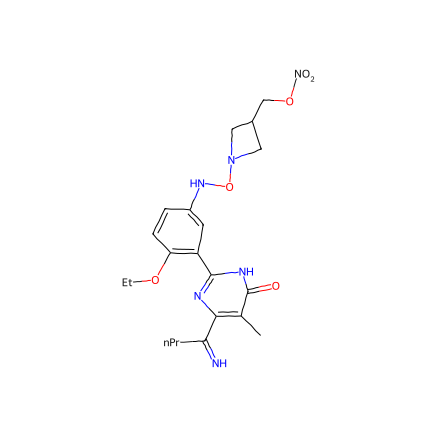 CCCC(=N)c1nc(-c2cc(NON3CC(CO[N+](=O)[O-])C3)ccc2OCC)[nH]c(=O)c1C